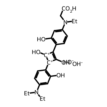 CCN(CC)c1ccc(-[c+]2c(O)c(-c3ccc(N(CC)CC(=O)O)cc3O)[c+]2O)c(O)c1.[OH-].[OH-]